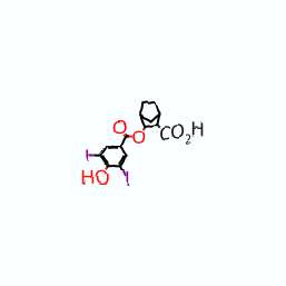 O=C(OC1C2CCC(C2)C1C(=O)O)c1cc(I)c(O)c(I)c1